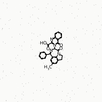 Cc1cc2c3c(c1)C(c1ccccc1)=NC(n1c(C(=O)O)nc4ccccc4c1=O)C(=O)N3CC2